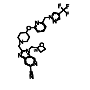 N#Cc1cc2nc(CN3CCC(Oc4cccc(Cn5cc(C(F)(F)F)cn5)n4)CC3)n(C[C@@H]3CCO3)c2cn1